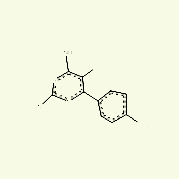 Nc1nc(N)c(F)c(-c2ccc(C(F)(F)F)cc2)n1